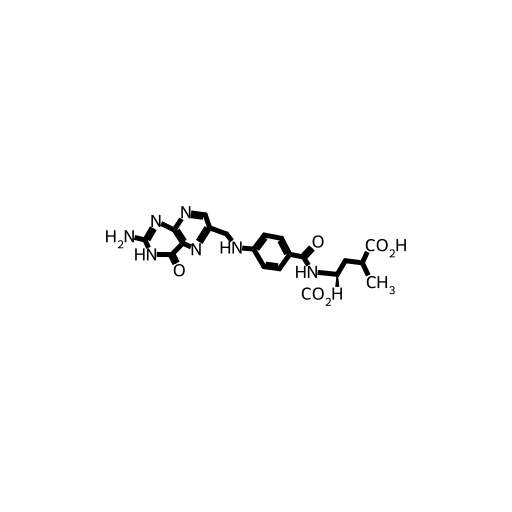 CC(C[C@H](NC(=O)c1ccc(NCc2cnc3nc(N)[nH]c(=O)c3n2)cc1)C(=O)O)C(=O)O